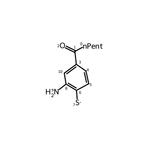 CCCCCC(=O)c1ccc([S])c(N)c1